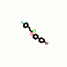 Fc1ccc(CCC(Cl)Oc2ccc(-c3ccc(Br)cc3)cc2)cc1